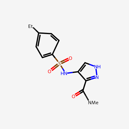 CCc1ccc(S(=O)(=O)Nc2c[nH]nc2C(=O)NC)cc1